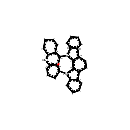 c1ccc(-n2c3ccccc3c3ccc4c5ccccc5n(-c5ccnc6ccccc56)c4c32)cc1